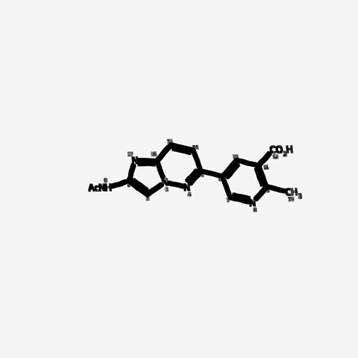 CC(=O)Nc1cn2nc(-c3cnc(C)c(C(=O)O)c3)ccc2n1